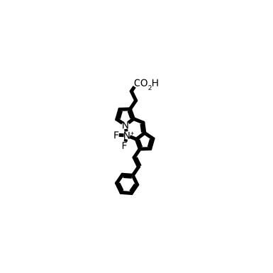 O=C(O)CCc1ccn2c1C=C1C=CC(C=Cc3ccccc3)=C1[N+]2(F)F